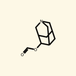 O=COC1C2CC3CC1CN(C3)C2